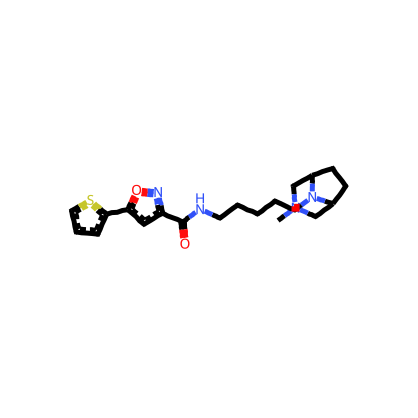 CN1CC2CCC(C1)N2CCCCCNC(=O)c1cc(-c2cccs2)on1